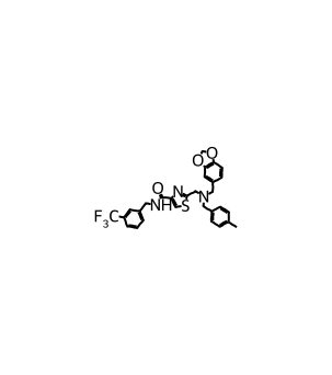 Cc1ccc(CN(Cc2ccc3c(c2)OCO3)Cc2nc(C(=O)NCc3cccc(C(F)(F)F)c3)cs2)cc1